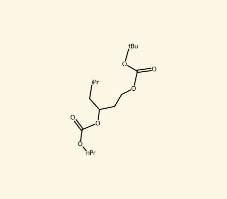 [CH2]CCOC(=O)OC(CCOC(=O)OC(C)(C)C)CC(C)C